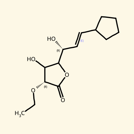 CCO[C@H]1C(=O)OC([C@H](O)/C=C/C2CCCC2)C1O